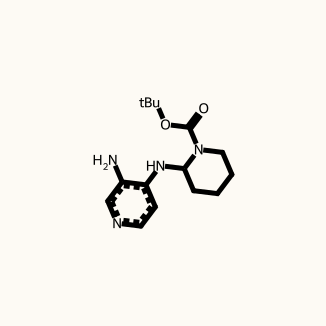 CC(C)(C)OC(=O)N1CCCCC1Nc1ccncc1N